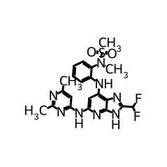 Cc1cc(Nc2cc(Nc3ccccc3N(C)S(C)(=O)=O)c3nc(C(F)F)[nH]c3n2)nc(C)n1